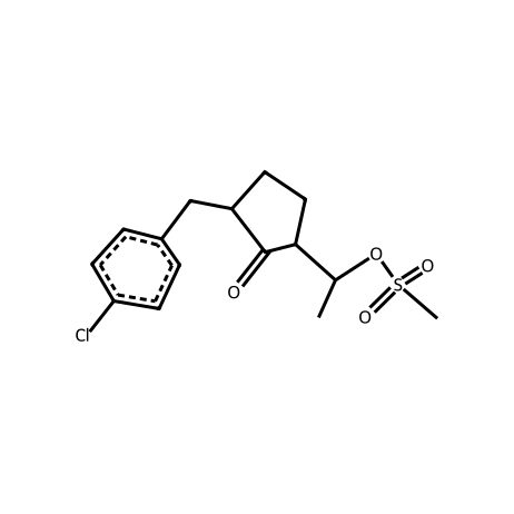 CC(OS(C)(=O)=O)C1CCC(Cc2ccc(Cl)cc2)C1=O